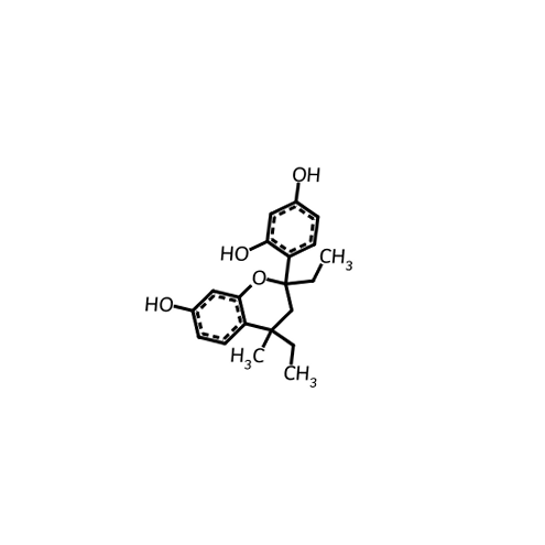 CCC1(C)CC(CC)(c2ccc(O)cc2O)Oc2cc(O)ccc21